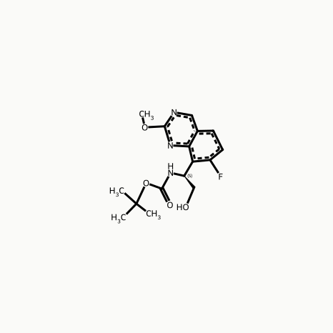 COc1ncc2ccc(F)c([C@@H](CO)NC(=O)OC(C)(C)C)c2n1